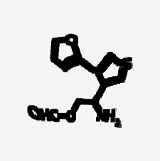 NC(COC=O)c1cscc1-c1ccco1